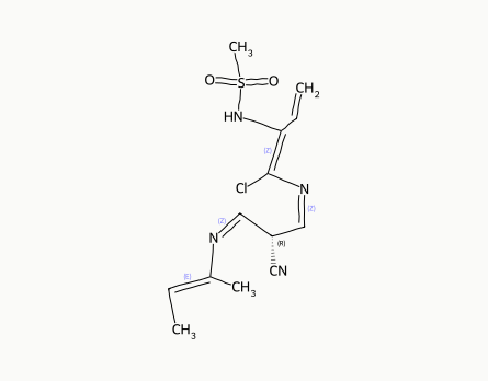 C=C/C(NS(C)(=O)=O)=C(Cl)\N=C/[C@H](C#N)/C=N\C(C)=C\C